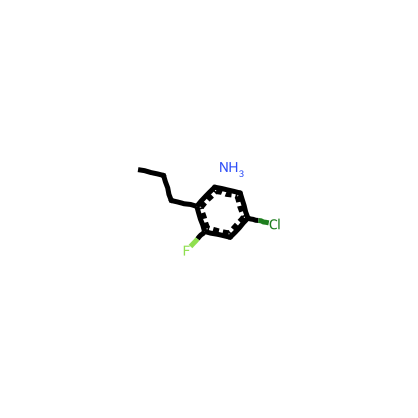 CCCc1ccc(Cl)cc1F.N